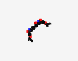 CCCCC(CC)COc1ccc(C(=O)c2ccc(-c3ccc(-c4ccc(-c5ccc(C(=O)c6ccc(OCC(CC)CCCC)cc6)nc5)c(OC)c4)cc3C)cn2)cc1